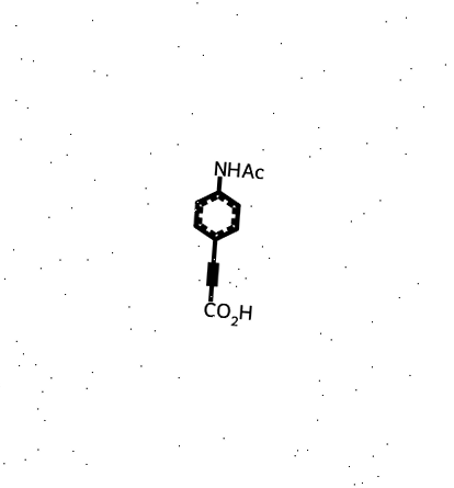 CC(=O)Nc1ccc(C#CC(=O)O)cc1